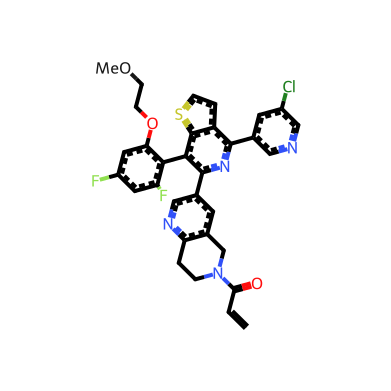 C=CC(=O)N1CCc2ncc(-c3nc(-c4cncc(Cl)c4)c4ccsc4c3-c3c(F)cc(F)cc3OCCOC)cc2C1